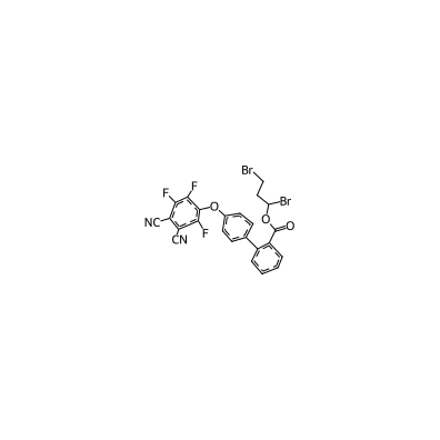 N#Cc1c(F)c(F)c(Oc2ccc(-c3ccccc3C(=O)OC(Br)CCBr)cc2)c(F)c1C#N